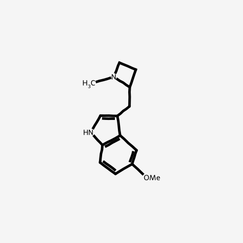 COc1ccc2[nH]cc(CC3CCN3C)c2c1